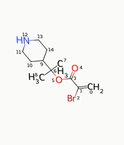 C=C(Br)C(=O)OC(C)(C)C1CCNCC1